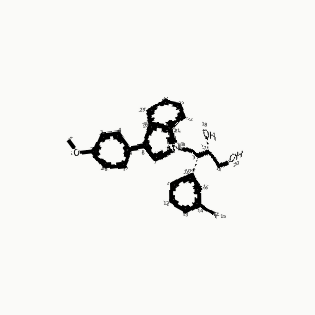 COc1ccc(-c2cn([C@@H](c3cccc(F)c3)[C@H](O)CO)c3ccccc23)cc1